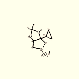 CC1(C)OC2CN(C(=O)O)CC2(C2CC2)O1